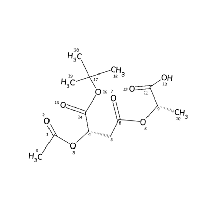 CC(=O)O[C@@H](CC(=O)O[C@@H](C)C(=O)O)C(=O)OC(C)(C)C